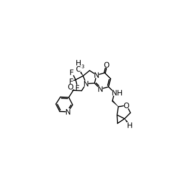 C[C@@]1(C(F)(F)F)Cn2c(nc(NC[C@H]3OC[C@@H]4CC43)cc2=O)N1CC(=O)c1cccnc1